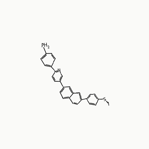 Pc1ccc(-c2ccc(-c3ccc4ccc(-c5ccc(SI)cc5)cc4c3)cn2)cc1